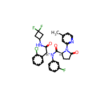 Cc1ccnc(N2C(=O)CC[C@H]2C(=O)N(c2cccc(F)c2)[C@@H](C(=O)NC2CC(F)(F)C2)c2ccccc2Cl)c1